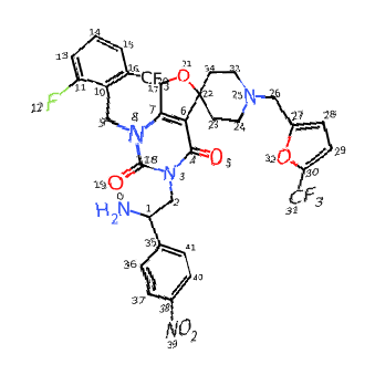 NC(Cn1c(=O)c2c(n(Cc3c(F)cccc3C(F)(F)F)c1=O)COC21CCN(Cc2ccc(C(F)(F)F)o2)CC1)c1ccc([N+](=O)[O-])cc1